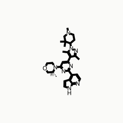 Cc1nn(C2CCN(C)CC2(C)C)c(C)c1-c1cc(N2CCOC[C@H]2C)nc(-c2ccnc3[nH]ccc23)n1